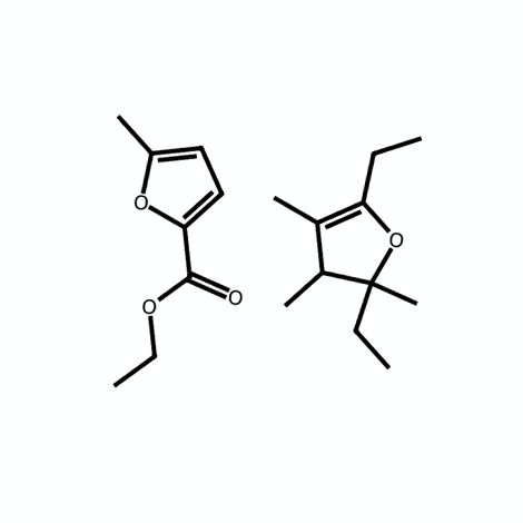 CCC1=C(C)C(C)C(C)(CC)O1.CCOC(=O)c1ccc(C)o1